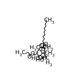 CCCCCCCCCCCC(=O)O[C@]1(C)CC(C)C23C=C(C)C(O)C2(O)C(O)C(COC(=O)CCC)=CC(C3=O)C1(C)C